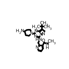 CNC(=O)c1cccnc1CNc1nc(N2CCC(N)CC2)nc2c(C(C)(C)C)cnn12